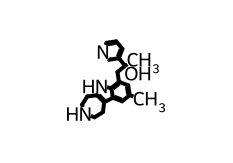 Cc1cc(CC(C)(O)c2cccnc2)c2[nH]c3c(c2c1)CCNCC3